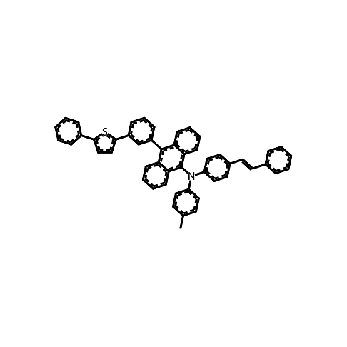 Cc1ccc(N(c2ccc(/C=C/c3ccccc3)cc2)c2c3ccccc3c(-c3cccc(-c4ccc(-c5ccccc5)s4)c3)c3ccccc23)cc1